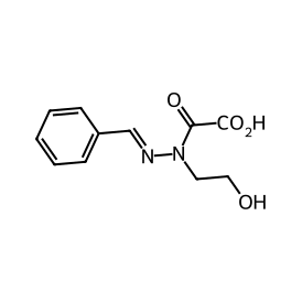 O=C(O)C(=O)N(CCO)N=Cc1ccccc1